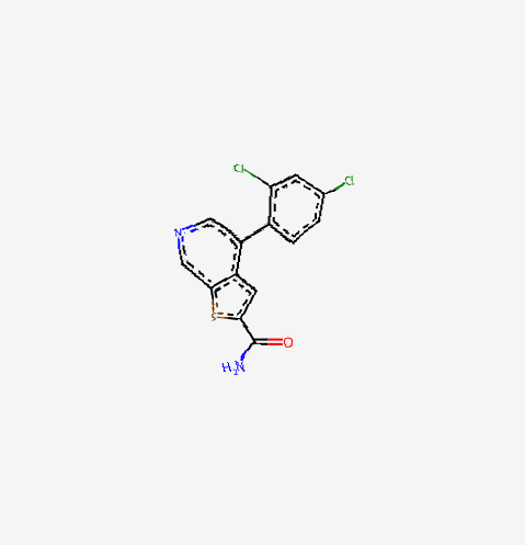 NC(=O)c1cc2c(-c3ccc(Cl)cc3Cl)cncc2s1